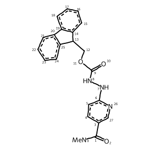 CNC(=O)c1ccc(NNC(=O)OCC2c3ccccc3-c3ccccc32)nc1